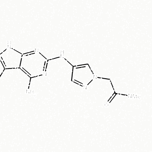 CNC(=O)Cn1cc(Nc2nc(N)c3c(Cl)c[nH]c3n2)cn1